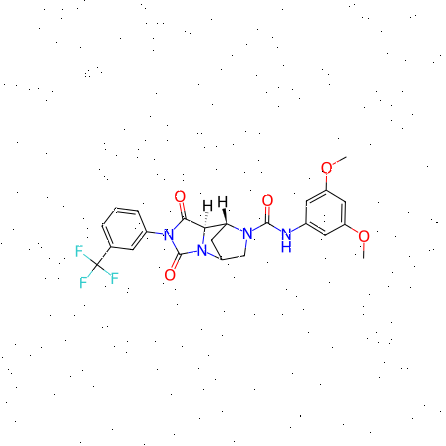 COc1cc(NC(=O)N2CC3C[C@@H]2[C@@H]2C(=O)N(c4cccc(C(F)(F)F)c4)C(=O)N32)cc(OC)c1